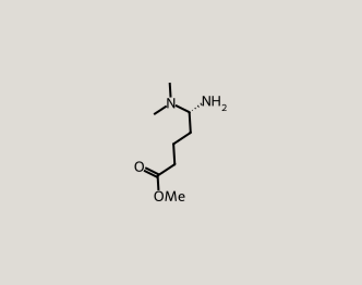 COC(=O)CCC[C@@H](N)N(C)C